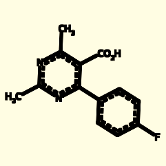 Cc1nc(C)c(C(=O)O)c(-c2ccc(F)cc2)n1